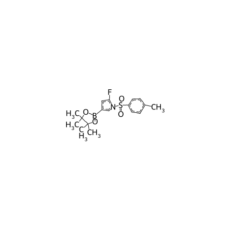 Cc1ccc(S(=O)(=O)n2cc(B3OC(C)(C)C(C)(C)O3)cc2F)cc1